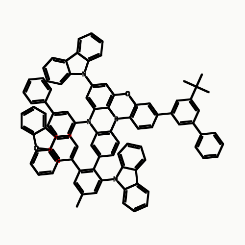 Cc1cc(-c2ccc3c(c2)oc2ccccc23)c(-c2ccc3c(c2)N(c2cc(-c4ccccc4)cc(-c4ccccc4)c2)c2cc(-n4c5ccccc5c5ccccc54)cc4c2B3c2ccc(-c3cc(-c5ccccc5)cc(C(C)(C)C)c3)cc2O4)c(-n2c3ccccc3c3ccccc32)c1